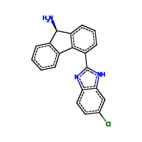 N[C@@H]1c2ccccc2-c2c(-c3nc4ccc(Cl)cc4[nH]3)cccc21